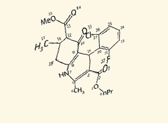 CCCOC(=O)C1=C(C)NC2=C(C(=O)C(C(=O)OC)C(C)C2)C1c1c(F)cccc1Cl